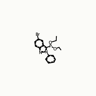 CCOP(OCC)c1c2cc(Br)ccc2nn1-c1ccccc1